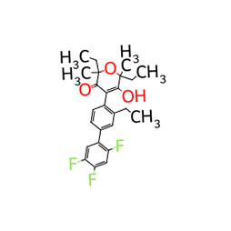 CCc1cc(-c2cc(F)c(F)cc2F)ccc1C1=C(O)C(C)(CC)OC(C)(CC)C1=O